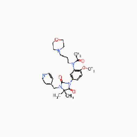 CC1(C)C(=O)N(c2ccc(OC(F)(F)F)c(N(CCCN3CCOCC3)C(=O)C(F)(F)F)c2)C(=O)N1Cc1ccncc1